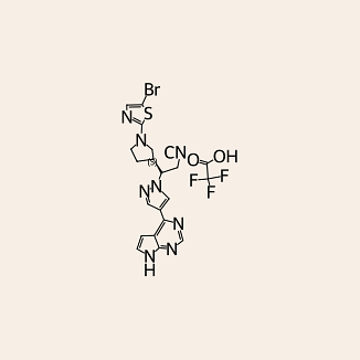 N#CCC([C@H]1CCN(c2ncc(Br)s2)C1)n1cc(-c2ncnc3[nH]ccc23)cn1.O=C(O)C(F)(F)F